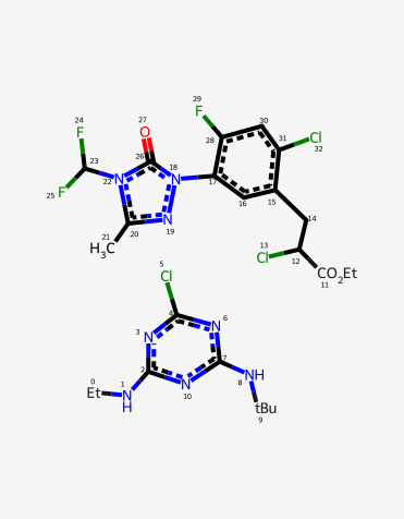 CCNc1nc(Cl)nc(NC(C)(C)C)n1.CCOC(=O)C(Cl)Cc1cc(-n2nc(C)n(C(F)F)c2=O)c(F)cc1Cl